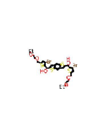 CCOCCOCc1cc(Br)c(C(O)c2cc3cc4sc(C(O)c5sc(COCCOCC)cc5Br)cc4cc3s2)s1